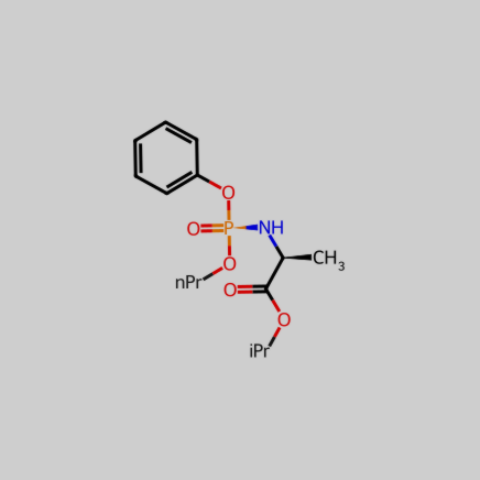 CCCO[P@@](=O)(N[C@@H](C)C(=O)OC(C)C)Oc1ccccc1